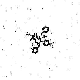 CC(=O)c1nsc(C(=O)N(Cc2cccnc2)C(C(=O)NCc2ccccc2)c2ccc(N(C)C)cc2)c1C